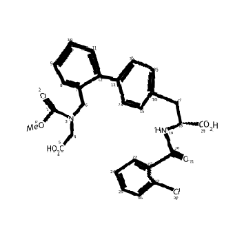 COC(=O)N(CC(=O)O)Cc1ccccc1-c1ccc(C[C@H](NC(=O)c2ccccc2Cl)C(=O)O)cc1